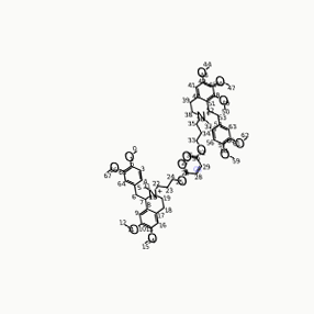 COc1ccc(CC2c3cc(OC)c(OC)cc3CC[N+]2(C)CCCOC(=O)/C=C\C(=O)OCCC[N+]2(C)CCc3cc(OC)c(OC)c(OC)c3C2Cc2ccc(OC)c(OC)c2)cc1OC